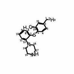 [2H]Cc1ccc(Sc2ccccc2N2CCNCC2)c(C)c1